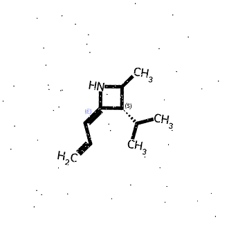 C=C/C=C1/NC(C)[C@@H]1C(C)C